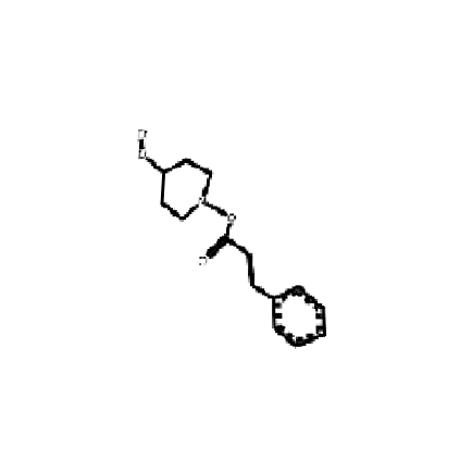 CCOC1CCN(OC(=O)CCc2ccccc2)CC1